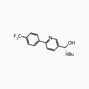 CCCC[C@@H](O)c1ccc(-c2ccc(C(F)(F)F)cc2)nc1